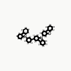 C1=Cc2c(c3ccccc3n2-c2cccc(-c3ccc4c(c3)c3ccccc3n4-c3ccc4c(c3)oc3ccccc34)c2)CC1